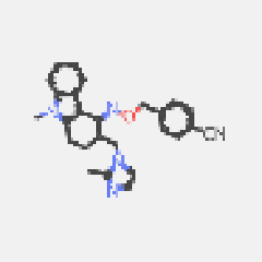 Cc1nccn1CC1CCc2c(c3ccccc3n2C)C1=NOCc1ccc(C#N)cc1